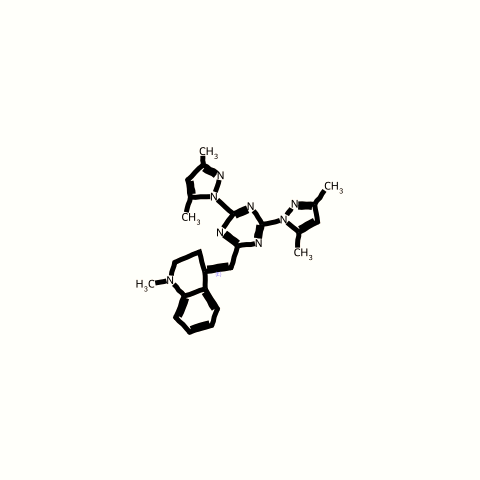 Cc1cc(C)n(-c2nc(/C=C3\CCN(C)c4ccccc43)nc(-n3nc(C)cc3C)n2)n1